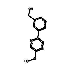 COc1cnc(-c2cccc(CO)c2)cn1